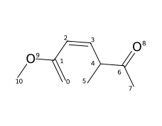 C=C(/C=C\C(C)C(C)=O)OC